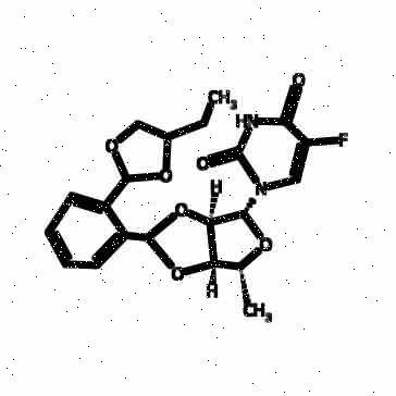 CCC1COC(c2ccccc2C2O[C@@H]3[C@H](O2)[C@@H](C)O[C@H]3n2cc(F)c(=O)[nH]c2=O)O1